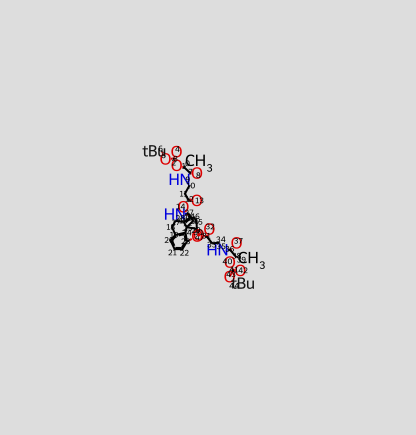 C[C@H](OC(=O)OC(C)(C)C)C(=O)NCCC(=O)OC1=C2C3Cc4cccc5c4C2(CCN3)C(OC(=O)CCNC(=O)[C@H](C)OC(=O)OC(C)(C)C)(CC1)O5